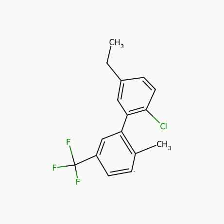 CCc1ccc(Cl)c(-c2cc(C(F)(F)F)c[c]c2C)c1